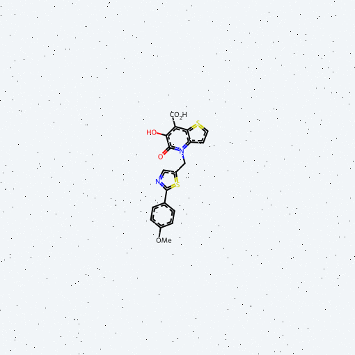 COc1ccc(-c2ncc(Cn3c(=O)c(O)c(C(=O)O)c4sccc43)s2)cc1